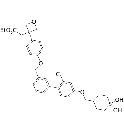 CCOC(=O)CC1(c2ccc(OCc3cccc(-c4ccc(OCC5CCS(O)(O)CC5)cc4Cl)c3)cc2)COC1